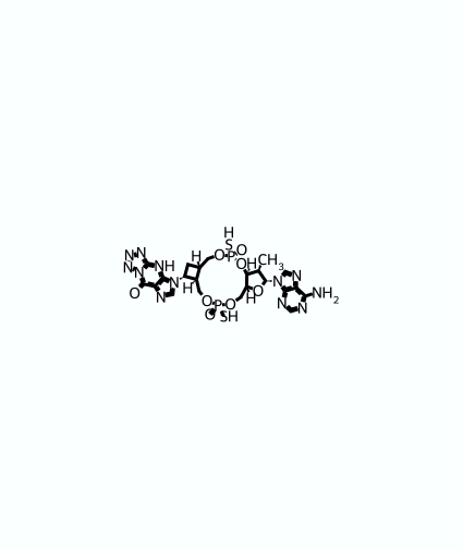 C[C@@H]1[C@@H]2OP(=O)(S)OC[C@H]3C[C@@H](n4cnc5c(=O)n6nnnc6[nH]c54)[C@@H]3COP(=O)(S)OC[C@H]2O[C@H]1n1cnc2c(N)ncnc21